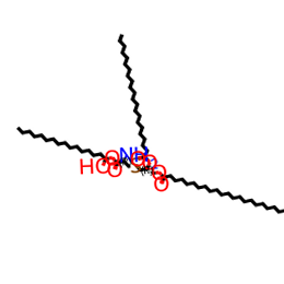 CCCCCCCCCCCCCCCCCCCCCC(=O)OC[C@H](CSC[C@H](N)C(=O)OC(O)CCCCCCCCCCCCCCC)OC(=O)CCCCCCCCCCCCCCCCCCCCC